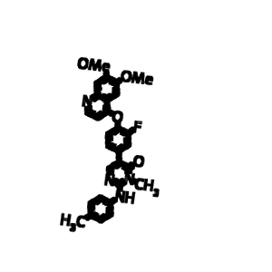 COc1cc2nccc(Oc3ccc(-c4cnc(Nc5ccc(C)cc5)n(C)c4=O)cc3F)c2cc1OC